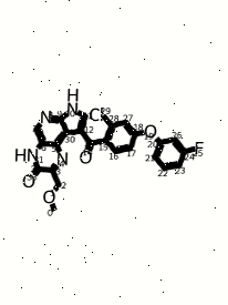 COCc1nc2c(cnc3[nH]cc(C(=O)c4ccc(Oc5cccc(F)c5)cc4Cl)c32)[nH]c1=O